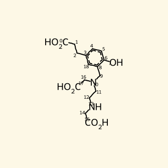 O=C(O)CCc1ccc(O)c(CN(CCNCC(=O)O)CC(=O)O)c1